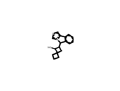 OC1C(C2c3ccccc3-c3cncn32)CC12CCC2